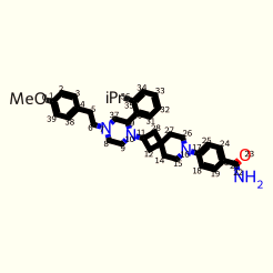 COc1ccc(CCN2CCN(C3CC4(CCN(c5ccc(C(N)=O)cc5)CC4)C3)C(c3ccccc3C(C)C)C2)cc1